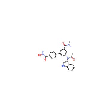 CC(=O)N(c1cc(C(=O)N(C)C)cc(-c2ccc(C(=O)NO)cc2)c1)c1c[nH]c2ccccc12